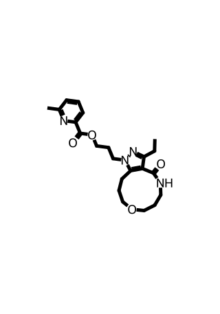 CCc1nn(CCCOC(=O)c2cccc(C)n2)c2c1C(=O)NCCCOCCC2